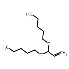 C=C[C](OCCCCC)OCCCCC